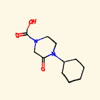 O=C(O)N1CCN(C2CCCCC2)C(=O)C1